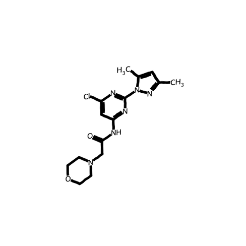 Cc1cc(C)n(-c2nc(Cl)cc(NC(=O)CN3CCOCC3)n2)n1